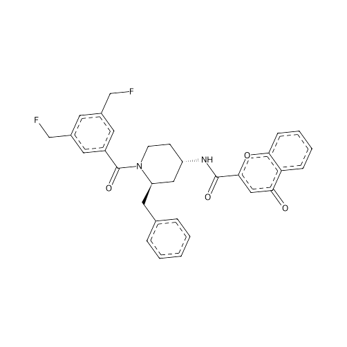 O=C(N[C@H]1CCN(C(=O)c2cc(CF)cc(CF)c2)[C@H](Cc2ccccc2)C1)c1cc(=O)c2ccccc2o1